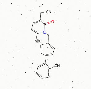 CCCCc1ccc(CC#N)c(=O)n1Cc1ccc(-c2ccccc2C#N)cc1